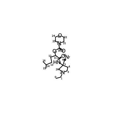 CCN1CCC(C#N)(NC(=O)C(CCC(C)C)OC(=O)N2CCOCC2)C1